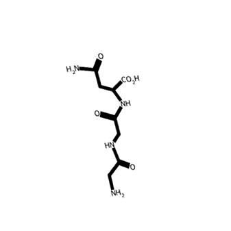 NCC(=O)NCC(=O)NC(CC(N)=O)C(=O)O